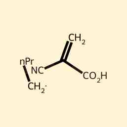 C=C(C#N)C(=O)O.[CH2]CCC